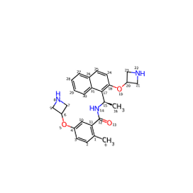 Cc1ccc(OC2CNC2)cc1C(=O)N[C@H](C)c1c(OC2CNC2)ccc2ccccc12